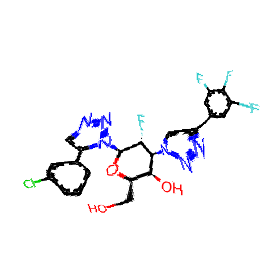 OC[C@H]1O[C@@H](n2nncc2-c2cccc(Cl)c2)[C@H](F)[C@@H](n2cc(-c3cc(F)c(F)c(F)c3)nn2)[C@H]1O